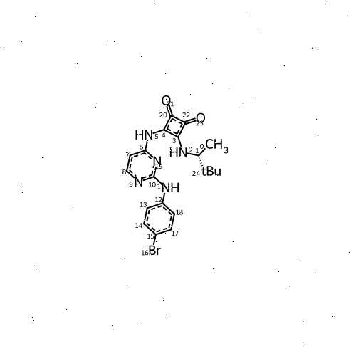 C[C@@H](Nc1c(Nc2ccnc(Nc3ccc(Br)cc3)n2)c(=O)c1=O)C(C)(C)C